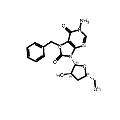 Nn1cnc2c(c1=O)n(Cc1ccccc1)c(=O)n2[C@@H]1O[C@H](CO)C[C@H]1O